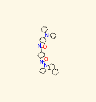 c1ccc(N(c2ccccc2)c2ccc3nc(-c4ccc5nc(-n6c7ccccc7c7c8ccccc8ccc76)oc5c4)oc3c2)cc1